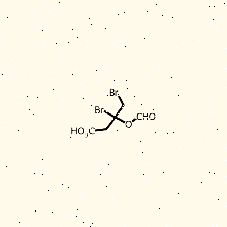 O=COC(Br)(CBr)CC(=O)O